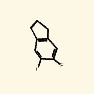 Fc1cc2c(cc1F)CCC2